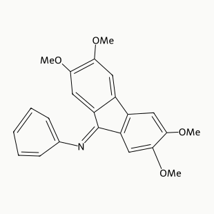 COc1cc2c(cc1OC)-c1cc(OC)c(OC)cc1C2=Nc1ccccc1